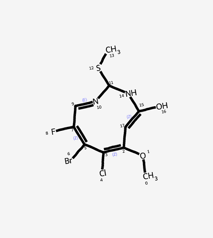 COC1=C(Cl)/C(Br)=C(F)\C=N\C(SC)N\C(O)=C\1